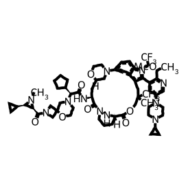 CO[C@@H](C)c1ncc(N2CCN(C3CC3)CC2)cc1-c1c2c3cc(ccc3n1CC(F)(F)F)N1CCO[C@@H](C[C@H](NC(=O)[C@H](C3CCCC3)N3CCOC4(CN(C(=O)[C@H]5[C@@H](C6CC6)N5C)C4)C3)C(=O)N3CCC[C@H](N3)C(=O)OCC(C)(C)C2)C1